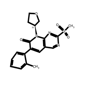 Cc1ccccc1-c1cc2cnc(S(C)(=O)=O)nc2n([C@H]2CCOC2)c1=O